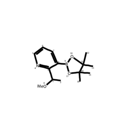 COC(C)c1ncccc1B1OC(C)(C)C(C)(C)O1